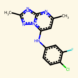 Cc1cc(Nc2ccc(Cl)c(F)c2)n2nc(C)nc2n1